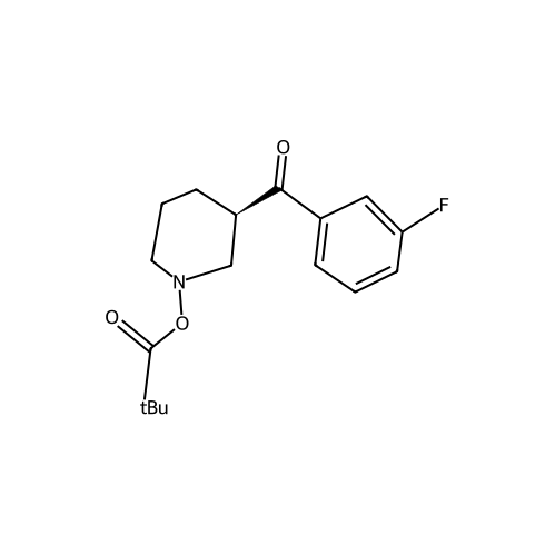 CC(C)(C)C(=O)ON1CCC[C@@H](C(=O)c2cccc(F)c2)C1